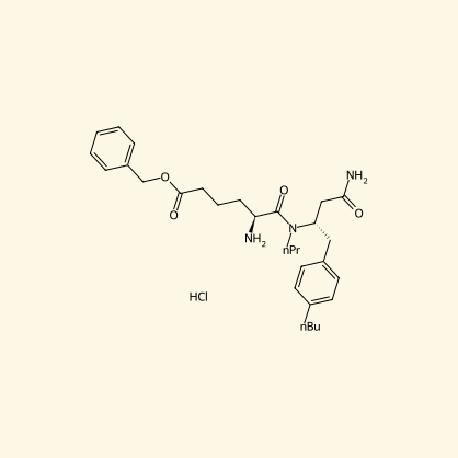 CCCCc1ccc(C[C@@H](CC(N)=O)N(CCC)C(=O)[C@@H](N)CCCC(=O)OCc2ccccc2)cc1.Cl